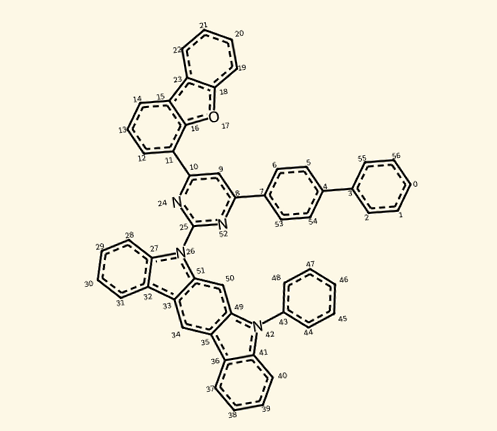 c1ccc(-c2ccc(-c3cc(-c4cccc5c4oc4ccccc45)nc(-n4c5ccccc5c5cc6c7ccccc7n(-c7ccccc7)c6cc54)n3)cc2)cc1